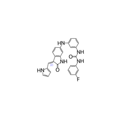 O=C(Nc1cccc(F)c1)Nc1cccc(Nc2ccc3c(c2)NC(=O)/C3=C\c2ccc[nH]2)c1